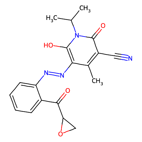 Cc1c(N=Nc2ccccc2C(=O)C2CO2)c(O)n(C(C)C)c(=O)c1C#N